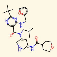 CC(C)CN(C(=O)c1cnc(C(C)(C)C)nc1NCc1ccco1)[C@@H]1CNC[C@H](NC(=O)C2CCOCC2)C1